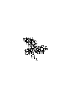 C[C@@H]1COCCN1c1cc(N=[SH](C)(O)c2ccc(F)cc2)c2ccnc(-c3ccn[nH]3)c2n1